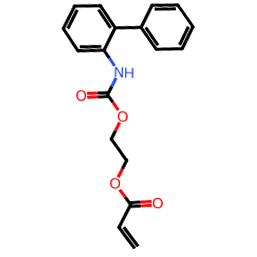 C=CC(=O)OCCOC(=O)Nc1ccccc1-c1ccccc1